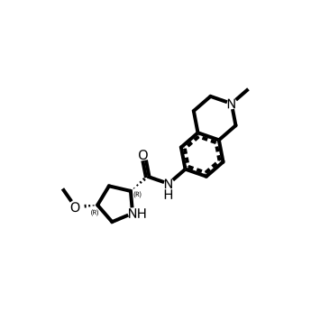 CO[C@H]1CN[C@@H](C(=O)Nc2ccc3c(c2)CCN(C)C3)C1